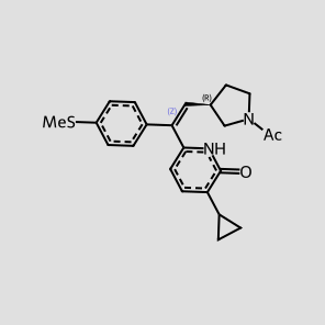 CSc1ccc(/C(=C/[C@H]2CCN(C(C)=O)C2)c2ccc(C3CC3)c(=O)[nH]2)cc1